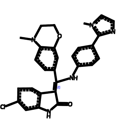 CN1CCOc2cc(/C(Nc3ccc(-c4nccn4C)cc3)=C3/C(=O)Nc4cc(Cl)ccc43)ccc21